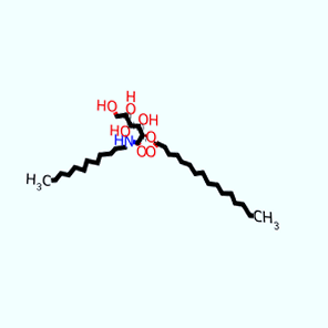 CCCCCCCCCCCCCCCC(=O)O[C@@H](C(=O)NCCCCCCCCCCCC)[C@@H](O)[C@H](O)[C@H](O)CO